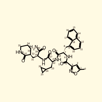 Cc1cc(C(=O)N[C@@H](Cc2cccc3ccccc23)C(=O)N[C@@H](CC2CC2)C(=O)N[C@@H](C[C@@H]2CCCNC2=O)C(N)=O)no1